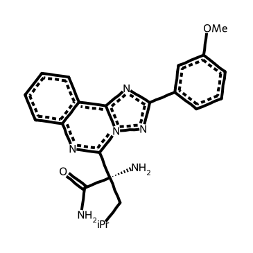 COc1cccc(-c2nc3c4ccccc4nc([C@@](N)(CC(C)C)C(N)=O)n3n2)c1